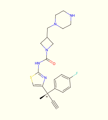 C#C[C@@](C)(c1ccc(F)cc1)c1csc(NC(=O)N2CC(CN3CCNCC3)C2)n1